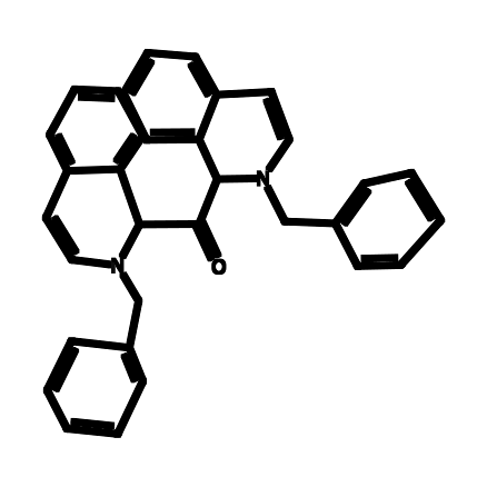 O=C(C1c2ccccc2C=CN1Cc1ccccc1)C1c2ccccc2C=CN1Cc1ccccc1